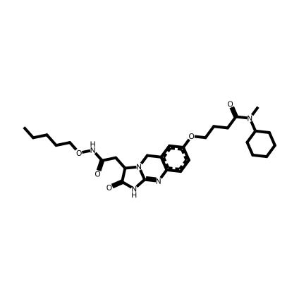 CCCCCONC(=O)CC1C(=O)NC2=Nc3ccc(OCCCC(=O)N(C)C4CCCCC4)cc3CN21